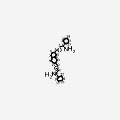 NC(COCc1ccc2ccc(COCC(N)c3ccccc3)cc2c1)c1ccccc1